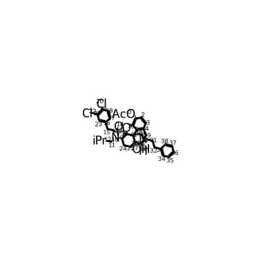 CC(=O)Oc1ccc2c3c1O[C@H]1[C@H](N(CC(C)C)C(=O)Cc4ccc(Cl)c(Cl)c4)CC[C@@]4(O)[C@@H](C2)N(CCc2ccccc2)CC[C@]314